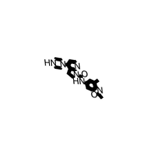 Cc1nc2c(C)cc(NC(=O)N3CCc4c(N5CCNCC5)ccnc43)cc2o1